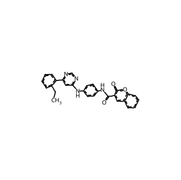 CCc1ccccc1-c1cc(Nc2ccc(NC(=O)c3cc4ccccc4oc3=O)cc2)ncn1